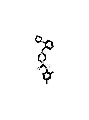 Cc1ccc(NC(=O)N2CCN(Cc3ccccc3N3CCCC3)CC2)c(C)c1